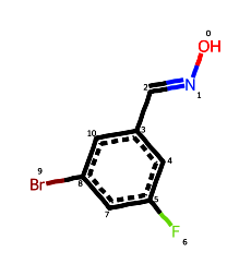 ON=Cc1cc(F)cc(Br)c1